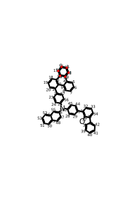 c1ccc(-c2ccccc2-c2c(-c3ccccc3)cccc2-c2ccc(N(c3ccc(-c4cccc5c4oc4ccccc45)cc3)c3ccc4ccccc4c3)cc2)cc1